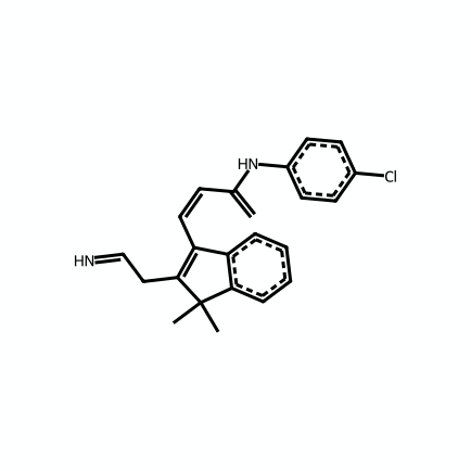 C=C(/C=C\C1=C(CC=N)C(C)(C)c2ccccc21)Nc1ccc(Cl)cc1